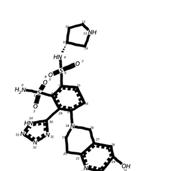 NS(=O)(=O)c1c(S(=O)(=O)N[C@@H]2CCNC2)ccc(N2CCc3ncc(O)cc3C2)c1-c1nnn[nH]1